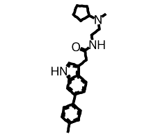 Cc1ccc(-c2ccc3c(CC(=O)NCCN(C)C4CCCC4)c[nH]c3c2)cc1